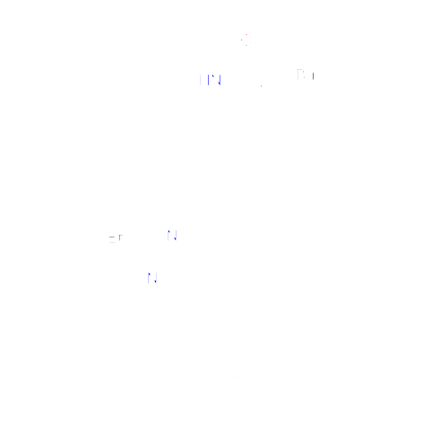 CCc1nc(-c2ccc(F)cc2)cn1-c1ccc(CCNC(=O)OC(C)(C)C)cc1